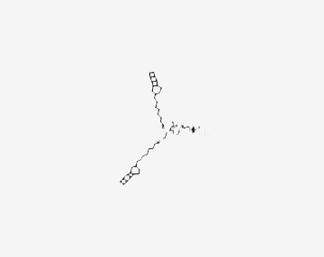 C[N+](C)(C)CCOP(=O)([O-])OC[C@@H](COCCCCCCCCC1CCC2C(C1)C1C3CCC3C21)OCCCCCCCCC1CCC2C(C1)C1C3CCC3C21